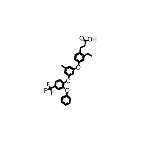 CCc1cc(Oc2cc(C)cc(Oc3ccc(C(F)(F)F)cc3Oc3ccccc3)c2)ccc1CCC(=O)O